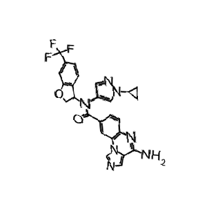 Nc1nc2ccc(C(=O)N(c3cnn(C4CC4)c3)C3COc4cc(C(F)(F)F)ccc43)cc2n2cncc12